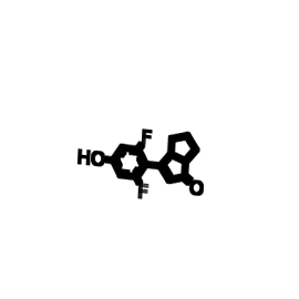 O=C1C=C(c2c(F)cc(O)cc2F)C2CCCC12